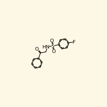 O=C(CNS(=O)(=O)c1ccc(F)cc1)c1ccccc1